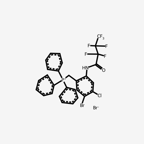 O=C(Nc1cc(Cl)c(Br)cc1C[P+](c1ccccc1)(c1ccccc1)c1ccccc1)C(F)(F)C(F)(F)C(F)(F)F.[Br-]